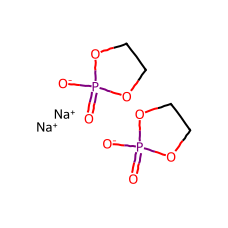 O=P1([O-])OCCO1.O=P1([O-])OCCO1.[Na+].[Na+]